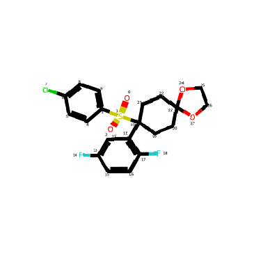 O=S(=O)(c1ccc(Cl)cc1)C1(c2cc(F)ccc2F)CCC2(CC1)OCCO2